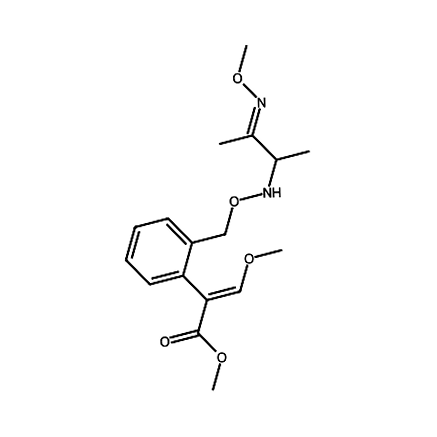 CO/C=C(/C(=O)OC)c1ccccc1CONC(C)/C(C)=N/OC